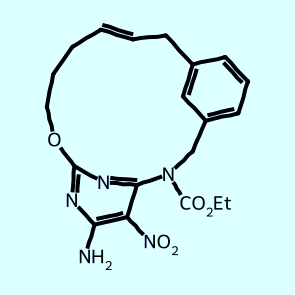 CCOC(=O)N1Cc2cccc(c2)C/C=C/CCCOc2nc(N)c([N+](=O)[O-])c1n2